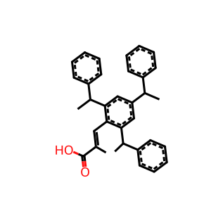 CC(=Cc1c(C(C)c2ccccc2)cc(C(C)c2ccccc2)cc1C(C)c1ccccc1)C(=O)O